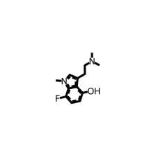 CN(C)CCc1cn(C)c2c(F)ccc(O)c12